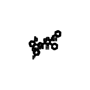 COc1cccc(O)c1-c1cc(C(=O)NC(C(=O)NCc2ccccc2)C2CCCCC2)nn1C1=C=C=C(F)C=C1